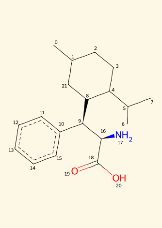 CC1CCC(C(C)C)C([C@H](c2ccccc2)[C@@H](N)C(=O)O)C1